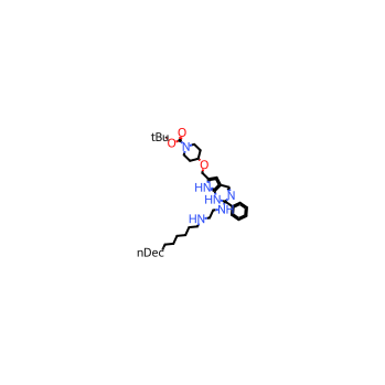 CCCCCCCCCCCCCCCCNCCNC1(c2ccccc2)N=Cc2cc(COC3CCN(C(=O)OC(C)(C)C)CC3)[nH]c2N1